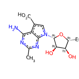 CC[C@H]1O[C@@H](n2cc(C(=O)O)c3c(N)nc(C)nc32)[C@H](O)[C@@H]1O